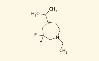 CCN1CCN(C(C)C)CC(F)(F)C1